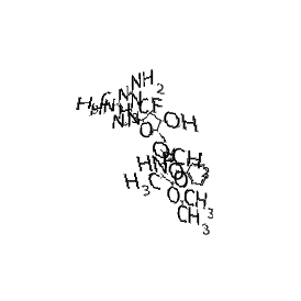 C=P(N[C@@H](C)C(=O)OC(C)C)(OC[C@H]1O[C@@H](n2cnc3c(NC)nc(N)nc32)[C@](C)(F)[C@@H]1O)Oc1ccccc1